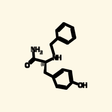 NC(=O)[C@H](Cc1ccc(O)cc1)NCc1ccccc1